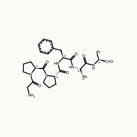 CC[C@H](C)[C@H](NC(=O)[C@H](Cc1ccccc1)NC(=O)[C@@H]1CCCN1C(=O)[C@@H]1CCCN1C(=O)CN)C(=O)N[C@H]([C]=O)C(C)C